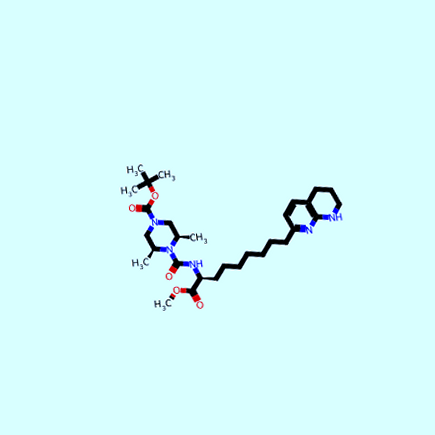 COC(=O)[C@H](CCCCCCCc1ccc2c(n1)NCCC2)NC(=O)N1[C@H](C)CN(C(=O)OC(C)(C)C)C[C@@H]1C